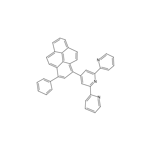 c1ccc(-c2cc(-c3cc(-c4ccccn4)nc(-c4ccccn4)c3)c3ccc4cccc5ccc2c3c54)cc1